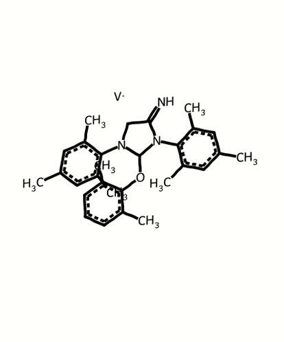 Cc1cc(C)c(N2CC(=N)N(c3c(C)cc(C)cc3C)C2Oc2c(C)cccc2C)c(C)c1.[V]